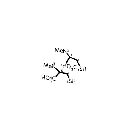 CNC(CS)C(=O)O.CNC(CS)C(=O)O